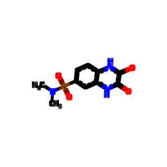 CN(C)S(=O)(=O)c1ccc2[nH]c(=O)c(=O)[nH]c2c1